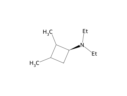 CCN(CC)[C@H]1CC(C)C1C